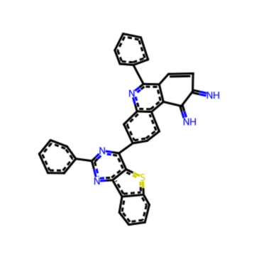 N=C1C=Cc2c(-c3ccccc3)nc3cc(-c4nc(-c5ccccc5)nc5c4sc4ccccc45)ccc3c2C1=N